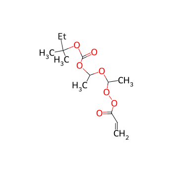 C=CC(=O)OOC(C)OC(C)OC(=O)OC(C)(C)CC